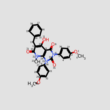 COc1ccc(-n2c(=O)c3c(O)c(Cc4ccccc4)c(=O)n(C)c3n(-c3ccc(OC)cc3)c2=O)cc1